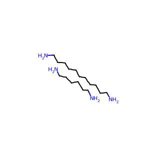 NCCCCCCCCCCCN.NCCCCCCN